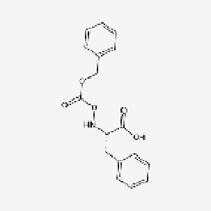 O=C(OCc1ccccc1)ON[C@@H](Cc1ccccc1)C(=O)O